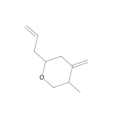 C=CCC1CC(=C)C(C)CO1